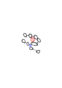 c1ccc(-c2ccc(N(c3ccc(-c4cccc5ccc6c7ccc(-c8ccccc8)cc7oc6c45)cc3)c3cccc(-c4ccccc4)c3)cc2)cc1